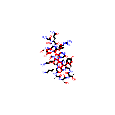 CC[C@H](C)[C@H](NC(=O)[C@H](CC(C)C)NC(=O)[C@H](CC(C)C)NC(=O)[C@H](CCCCN)NC(=O)[C@@H]1CCCN1C(=O)[C@H](CCCNC(=N)N)NC(=O)[C@H](CCC(N)=O)NC(=O)CN)C(=O)N[C@@H](Cc1ccc(O)cc1)C(=O)N[C@@H](CCCCN)C(=O)N[C@@H](C)C(=O)N[C@@H](CO)C(=O)N[C@H](C(=O)N[C@@H](CC(C)C)C(=O)N[C@@H](C)C(=O)N[C@@H](CO)C(=O)NCC(=O)N[C@H](C(=O)N[C@@H](CO)C(=O)N[C@@H](CO)C(=O)O)C(C)C)[C@@H](C)O